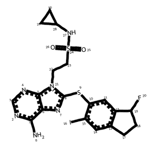 Nc1ncnc2c1nc(Sc1cc3c(cc1I)CCC3F)n2CCS(=O)(=O)NC1CC1